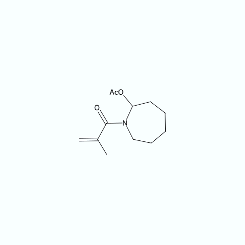 C=C(C)C(=O)N1CCCCCC1OC(C)=O